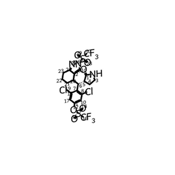 O=C1NCC[C@@H]1C(c1c(Cl)cc(OS(=O)(=O)C(F)(F)F)cc1Cl)C1CCCc2nn(S(=O)(=O)C(F)(F)F)cc21